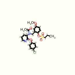 CCCS(=O)(=O)Oc1ccc(OC)cc1CN(C(C)=O)c1cccnc1Oc1ccc(Cl)cc1